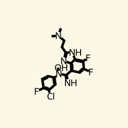 CN(C)CCc1nc2c(C(=N)N(O)c3ccc(F)c(Cl)c3)cc(F)c(F)c2[nH]1